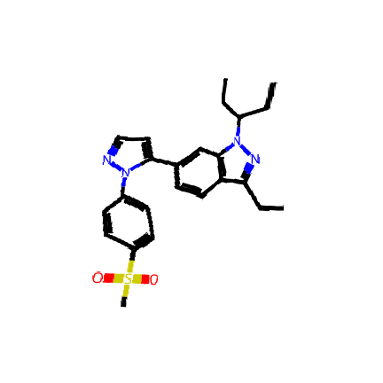 CCc1nn(C(CC)CC)c2cc(-c3ccnn3-c3ccc(S(C)(=O)=O)cc3)ccc12